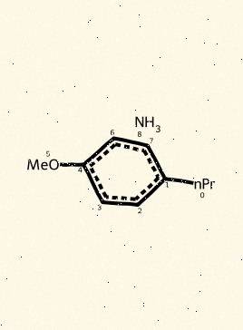 CCCc1ccc(OC)cc1.N